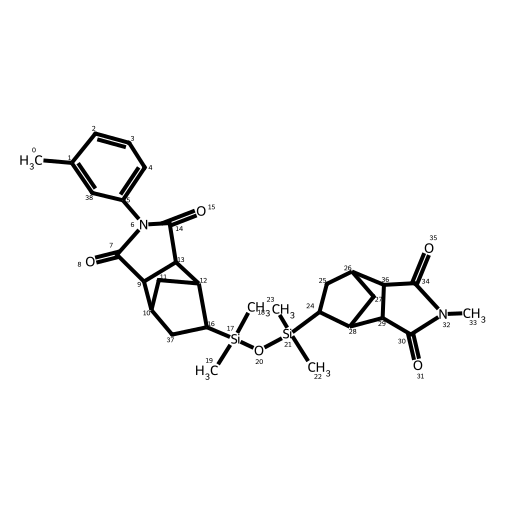 Cc1cccc(N2C(=O)C3C4CC(C3C2=O)C([Si](C)(C)O[Si](C)(C)C2CC3CC2C2C(=O)N(C)C(=O)C32)C4)c1